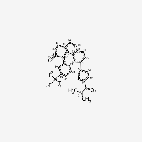 CN(C)C(=O)c1ccc(-c2ccc3ncc4ccc(=O)n(-c5cccc(C(F)(F)F)c5)c4c3c2)cc1